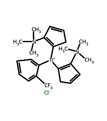 C[Si](C)(C)C1=[C]([Ti+]([C]2=C([Si](C)(C)C)C=CC2)[c]2ccccc2C(F)(F)F)CC=C1.[Cl-]